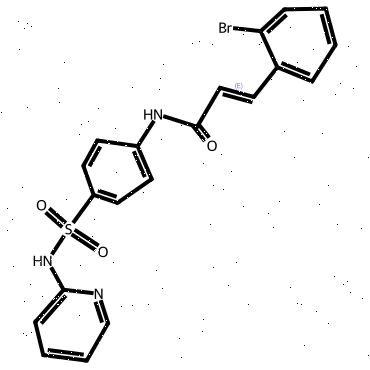 O=C(/C=C/c1ccccc1Br)Nc1ccc(S(=O)(=O)Nc2ccccn2)cc1